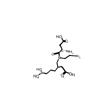 NCCN(CC(CCCB(O)O)CC(=O)O)C(=O)[C@@H](N)CC(=O)O